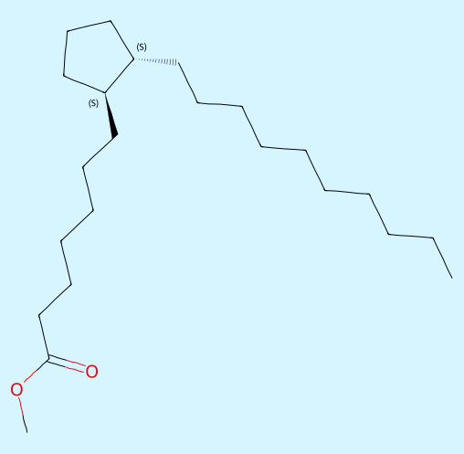 CCCCCCCCCC[C@H]1CCC[C@@H]1CCCCCCC(=O)OC